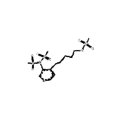 CS(=O)(=O)OCCCCCc1ccncc1N(S(C)(=O)=O)S(C)(=O)=O